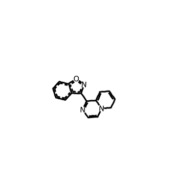 C1=CCN2C=CN=C(c3noc4ccccc34)C2=C1